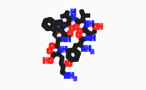 CC(C)[C@H](NC(=O)[C@H](CO)NC(=O)[C@@H](N)Cc1ccc(O)cc1)C(=O)N[C@H](C(=O)N[C@@H](Cc1ccccc1)C(=O)N[C@@H](Cc1ccccc1)C(=O)N[C@@H](CCCCN)C(=O)O)C(C)C